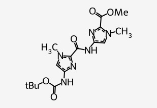 COC(=O)c1nc(NC(=O)c2nc(NC(=O)OC(C)(C)C)cn2C)cn1C